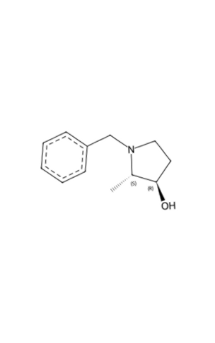 C[C@H]1[C@H](O)CCN1Cc1ccccc1